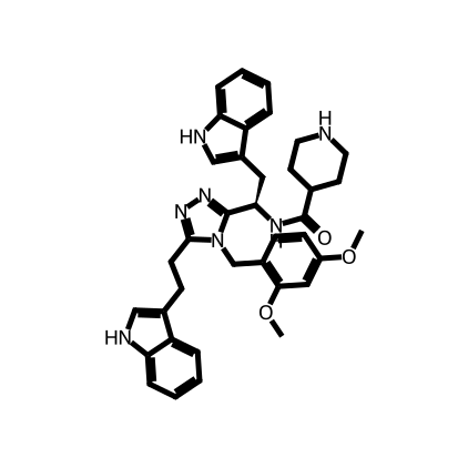 COc1ccc(Cn2c(CCc3c[nH]c4ccccc34)nnc2[C@@H](Cc2c[nH]c3ccccc23)NC(=O)C2CCNCC2)c(OC)c1